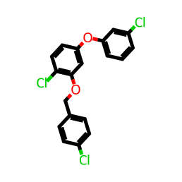 Clc1ccc(COc2cc(Oc3cccc(Cl)c3)ccc2Cl)cc1